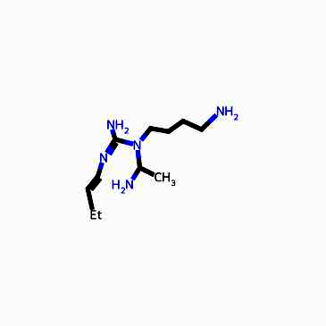 CC/C=C/N=C(/N)N(CCCCN)C(C)N